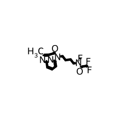 Cc1nc2cccc3n(CCCCN(F)C(=O)C(F)F)c(=O)c1n23